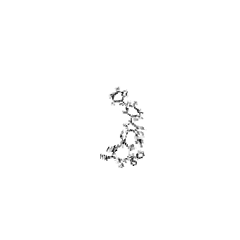 CN1C(=N)N[C@](C)(c2sc(-c3cncc(-c4cnco4)c3)cc2F)CS1(=O)=O